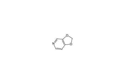 [c]1cncc2c1OCO2